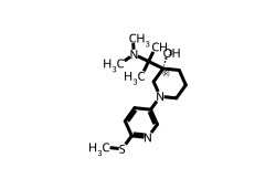 CSc1ccc(N2CCC[C@](O)(C(C)(C)N(C)C)C2)cn1